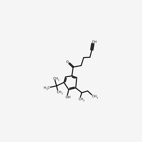 C#CCCCC(=O)c1cc(C(C)CC)c(O)c(C(C)(C)C)c1